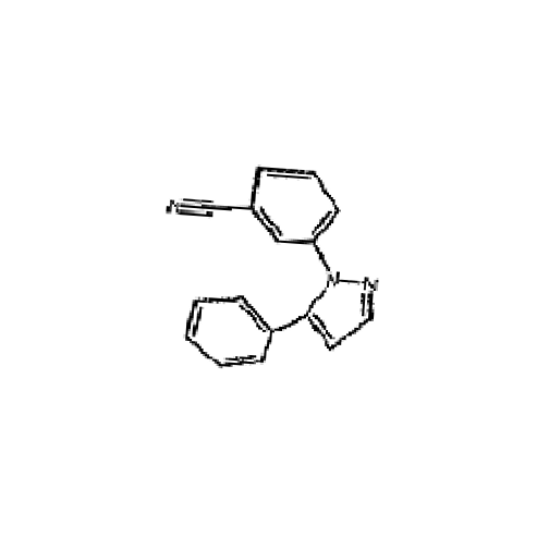 N#Cc1cccc(-n2nccc2-c2ccccc2)c1